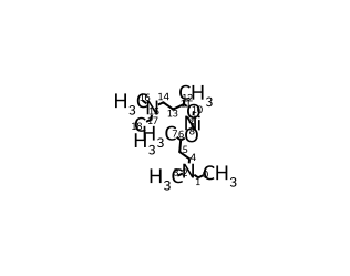 CCN(C)CCC(C)[O][Ni][O]C(C)CCN(C)CC